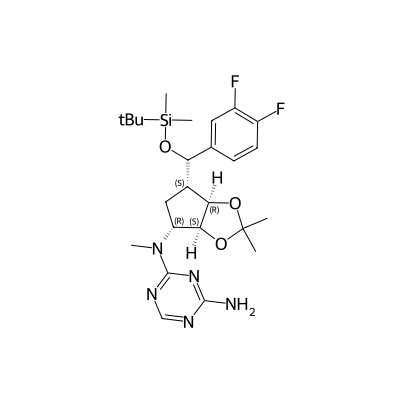 CN(c1ncnc(N)n1)[C@@H]1C[C@H](C(O[Si](C)(C)C(C)(C)C)c2ccc(F)c(F)c2)[C@H]2OC(C)(C)O[C@H]21